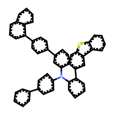 c1ccc(-c2ccc(N(c3cccc(-c4ccc(-c5cccc6ccccc56)cc4)c3)c3ccccc3-c3ccc4sc5ccccc5c4c3)cc2)cc1